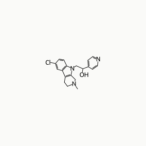 CN1CCc2c(n(CC(O)c3ccncc3)c3ccc(Cl)cc23)C1